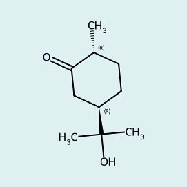 C[C@@H]1CC[C@@H](C(C)(C)O)CC1=O